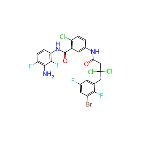 Nc1c(F)ccc(NC(=O)c2cc(NC(=O)CC(Cl)(Cl)Cc3cc(F)cc(Br)c3F)ccc2Cl)c1F